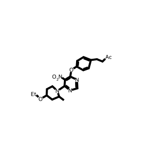 CCOC1CCN(c2ncnc(Oc3ccc(CCC(C)=O)cc3)c2[N+](=O)[O-])C(C)C1